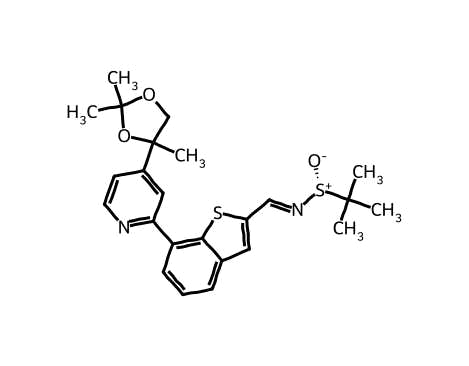 CC1(C)OCC(C)(c2ccnc(-c3cccc4cc(C=N[S@+]([O-])C(C)(C)C)sc34)c2)O1